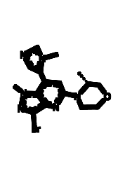 C[C@@H]1COCCN1c1cc(-c2cncn2C)c2c(n1)c(Br)nn2C